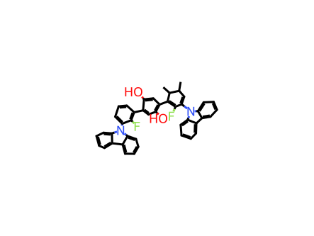 CC1C=C(n2c3ccccc3c3ccccc32)C(F)=C(c2cc(O)c(-c3cccc(-n4c5ccccc5c5ccccc54)c3F)cc2O)C1C